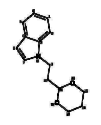 c1ccc2c(c1)ccn2CCC1OCCCO1